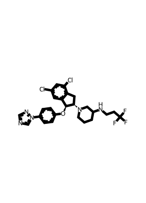 FC(F)(F)CCNC1CCCN([C@H]2Cc3c(Cl)cc(Cl)cc3[C@@H]2Oc2ccc(-n3cncn3)cc2)C1